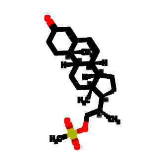 C[C@H](COS(C)(=O)=O)[C@H]1CC[C@H]2[C@@H]3C=CC4=CC(=O)CC[C@]4(C)[C@H]3CC[C@]12C